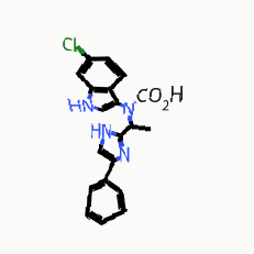 CC(c1nc(-c2ccccc2)c[nH]1)N(C(=O)O)c1c[nH]c2cc(Cl)ccc12